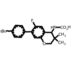 CCCCc1ccc(-c2cc3c(cc2F)C(NC(=O)O)C(C)(C)CO3)cc1